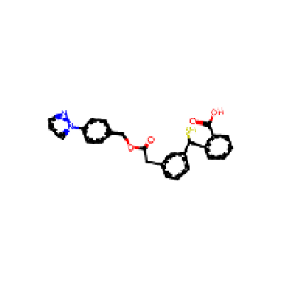 O=C(Cc1cccc(C(S)c2ccccc2C(=O)O)c1)OCc1ccc(-n2cccn2)cc1